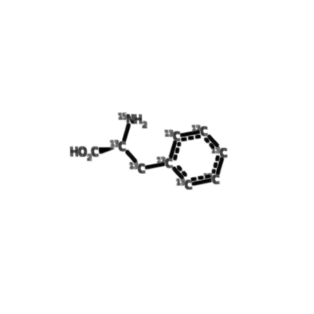 [15NH2][13C@@H]([13CH2][13c]1[13cH][13cH][13cH][13cH][13cH]1)[13C](=O)O